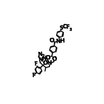 CC(CC1COC(c2ccc(C(=O)Nc3ccc(SC(F)(F)F)cc3)cc2)OC1)C(O)(Cn1cncn1)c1ccc(F)cc1F